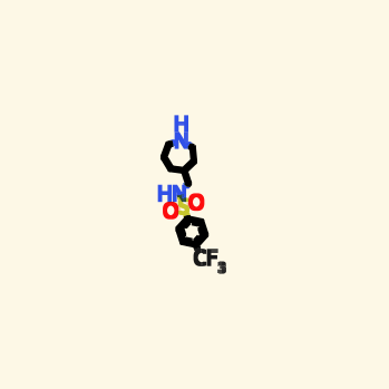 O=S(=O)(NCC1CCCNCC1)c1ccc(C(F)(F)F)cc1